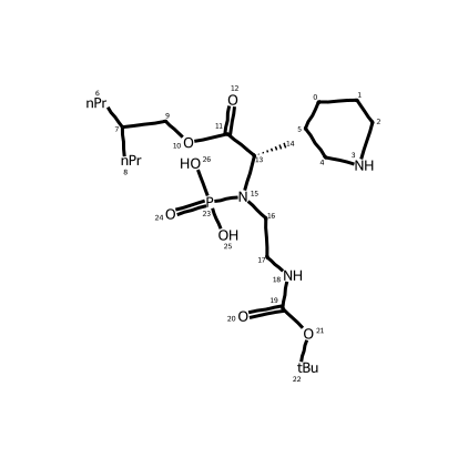 C1CCNCC1.CCCC(CCC)COC(=O)[C@H](C)N(CCNC(=O)OC(C)(C)C)P(=O)(O)O